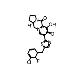 O=C1c2c(O)c(=O)c(-c3ncc(CC4C=CC=C(Cl)C4F)s3)cn2C[C@H]2CCCN12